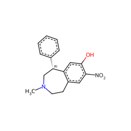 CN1CCc2cc([N+](=O)[O-])c(O)cc2[C@@H](c2ccccc2)C1